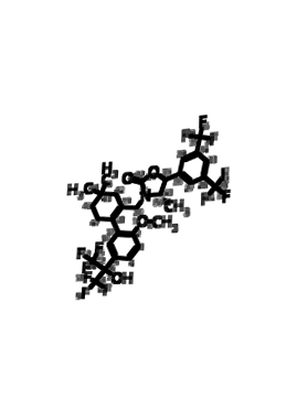 COc1ccc(C(O)(C(F)(F)F)C(F)(F)F)cc1C1=C(CN2C(=O)OC(c3cc(C(F)(F)F)cc(C(F)(F)F)c3)[C@@H]2C)CC(C)(C)CC1